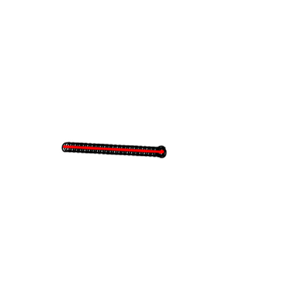 CCCOCCOCCOCCOCCOCCOCCOCCOCCOCCOCCOCCOCCOCCOCCOCCOCCOCCOCCOCCOCCOCCOCCOCCOCCOCCOCCOCCOCCOCCOCCOCCOCCOCCOCCOCCOCCOCCOCCOCCOCCOCCOCCOCCOCCOC(=O)ON1C(=O)CCC1=O